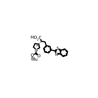 CC(C)(C)OC(=O)N1CC[C@H](C(Cc2cccc(-c3nc4ccccc4s3)c2)C(=O)O)C1